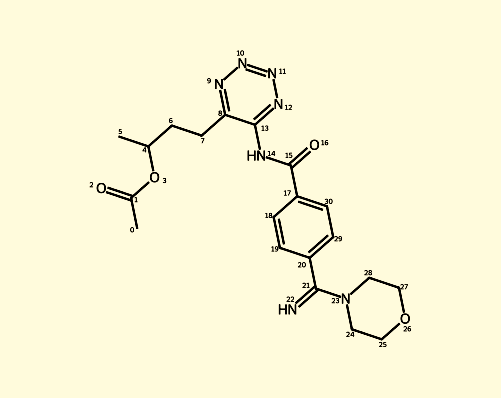 CC(=O)OC(C)CCc1nnnnc1NC(=O)c1ccc(C(=N)N2CCOCC2)cc1